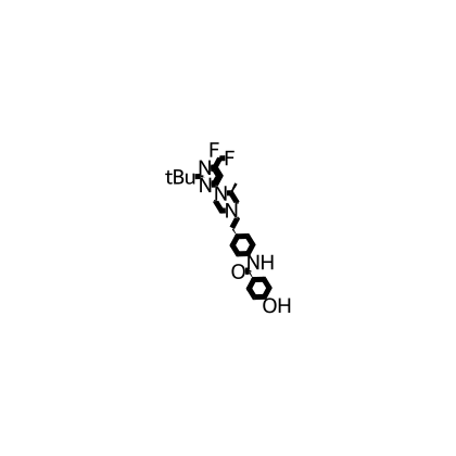 C[C@H]1CN(CC[C@H]2CC[C@H](NC(=O)[C@H]3CC[C@@H](O)CC3)CC2)CCN1c1cc(C(F)F)nc(C(C)(C)C)n1